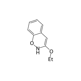 CCOC1=Cc2ccccc2ON1